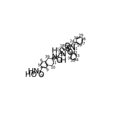 O=C(NO)c1ccc2c(c1)CCC(NC(=O)c1ccc(S(=O)(=O)N(Cc3ccccc3)Cc3ccccc3)[nH]1)C2